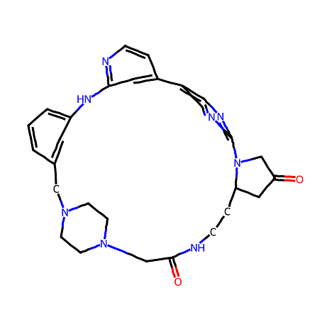 O=C1CC2CCNC(=O)CN3CCN(CC3)Cc3cccc(c3)Nc3cc(ccn3)-c3cnc(nc3)N2C1